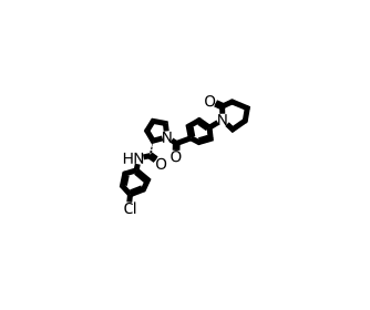 O=C(Nc1ccc(Cl)cc1)[C@@H]1CCCN1C(=O)c1ccc(N2CCCCC2=O)cc1